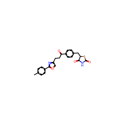 Cc1ccc(-c2nc(CCC(=O)c3ccc(CC4SC(=O)NC4=O)cc3)co2)cc1